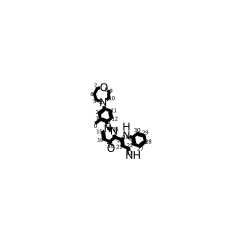 Cc1cc(N2CCCOCC2)ccc1-n1ccc(=O)c(/C(=C/C=N)Nc2ccccc2)n1